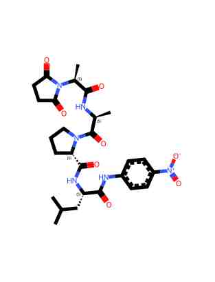 CC(C)C[C@H](NC(=O)[C@@H]1CCCN1C(=O)[C@H](C)NC(=O)[C@H](C)N1C(=O)CCC1=O)C(=O)Nc1ccc([N+](=O)[O-])cc1